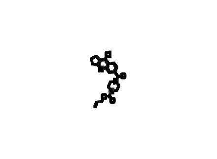 C=CCOC(=O)N1CCN(C(=O)c2ccc3c(Cl)c4c(nc3c2)CCC4)CC1